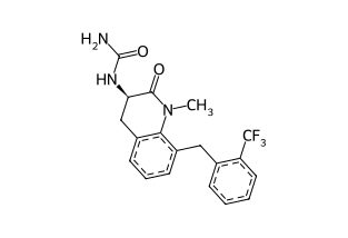 CN1C(=O)[C@H](NC(N)=O)Cc2cccc(Cc3ccccc3C(F)(F)F)c21